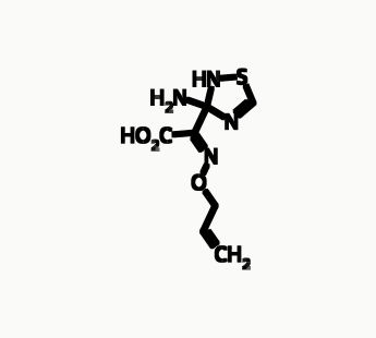 C=CCON=C(C(=O)O)C1(N)N=CSN1